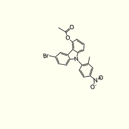 CC(=O)Oc1cccc2c1c1cc(Br)ccc1n2-c1ccc([N+](=O)[O-])cc1C